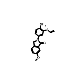 C=CSc1cc(N2Cc3ccc(OC)cc3C2=O)ccc1N